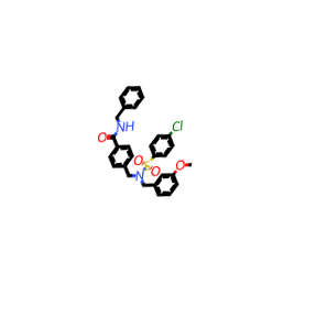 COc1cccc(CN(Cc2ccc(C(=O)NCc3ccccc3)cc2)S(=O)(=O)c2ccc(Cl)cc2)c1